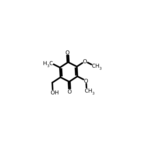 COC1=C(OC)C(=O)C(CO)=C(C)C1=O